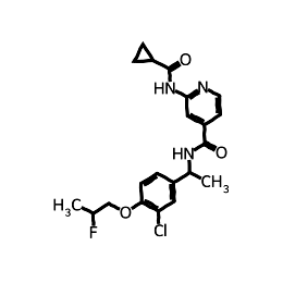 CC(F)COc1ccc(C(C)NC(=O)c2ccnc(NC(=O)C3CC3)c2)cc1Cl